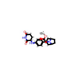 CC(C)(C)OC(=O)CN1C2CCC1CC(c1ccc(NC3CCC(=O)NC3=O)cc1)C2